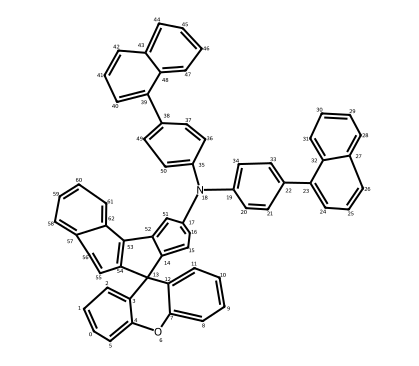 c1ccc2c(c1)Oc1ccccc1C21c2ccc(N(c3ccc(-c4cccc5ccccc45)cc3)c3ccc(-c4cccc5ccccc45)cc3)cc2-c2c1ccc1ccccc21